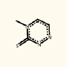 Cn1ccnnc1=S